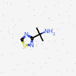 CC(C)(N)c1ncsn1